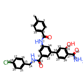 Cc1ccc(C(=O)Nc2cc(C(=O)NCc3ccc(Cl)cc3)cc(-c3ccc(C(N)=O)c(O)c3)c2)cc1